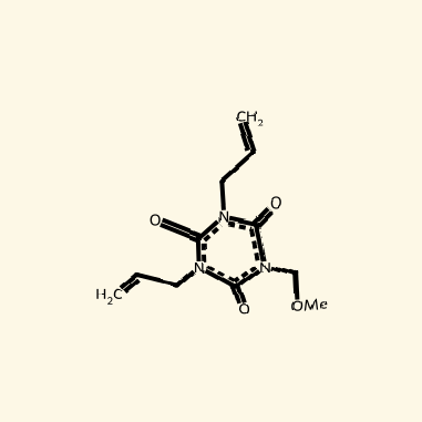 C=CCn1c(=O)n(CC=C)c(=O)n(COC)c1=O